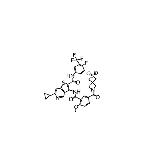 COc1ccc(C(=O)N2CC3(C2)CS(=O)(=O)C3)cc1C(=O)Nc1c(C(=O)Nc2ccc(F)c(C(F)(F)F)c2)sc2cc(C3CC3)ncc12